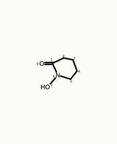 O=C1CCCCN1O